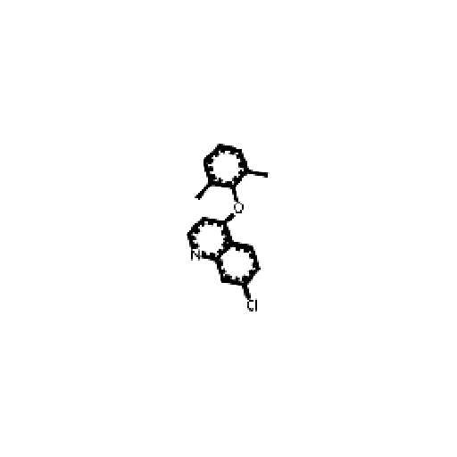 Cc1cccc(C)c1Oc1ccnc2cc(Cl)ccc12